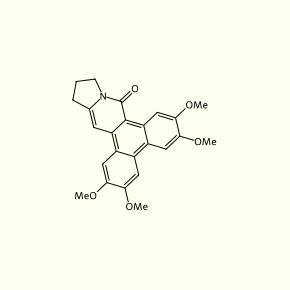 COc1cc2c3cc(OC)c(OC)cc3c3c(=O)n4c(cc3c2cc1OC)CCC4